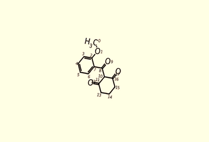 COc1ccccc1C(=O)C1C(=O)CCCC1=O